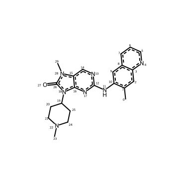 Cc1cc2ncccc2cc1Nc1ncc2c(n1)n(C1CCN(C)CC1)c(=O)n2C